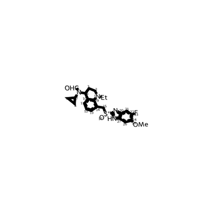 CCN1CCC(N(C=O)C2CC2)c2cccc(C[S+]([O-])c3nc4cc(F)c(OC)cc4[nH]3)c21